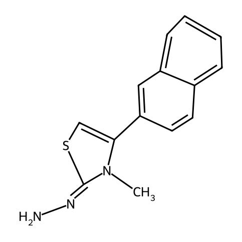 Cn1c(-c2ccc3ccccc3c2)csc1=NN